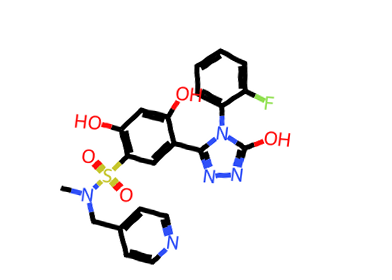 CN(Cc1ccncc1)S(=O)(=O)c1cc(-c2nnc(O)n2-c2ccccc2F)c(O)cc1O